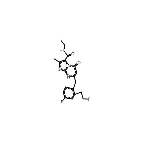 CCNC(=O)c1c(C)sc2nc(Cc3ccc(F)cc3CCF)cc(=O)n12